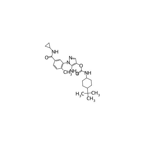 Cc1ccc(C(=O)NC2CC2)cc1-n1ncc(OC(=O)NC2CCC(C(C)(C)C)CC2)c1N